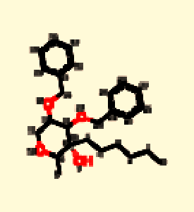 CCCCCC[C@@]1(O)C(C)OCC(OCc2ccccc2)C1OCc1ccccc1